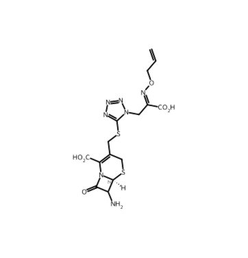 C=CCON=C(Cn1nnnc1SCC1=C(C(=O)O)N2C(=O)C(N)[C@@H]2SC1)C(=O)O